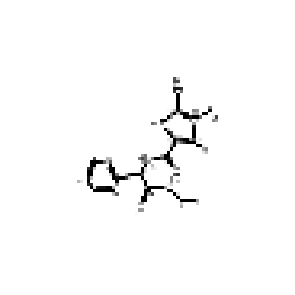 CCOC(=O)C(NC(=O)c1sc(Br)c(Br)c1C)c1ccccc1